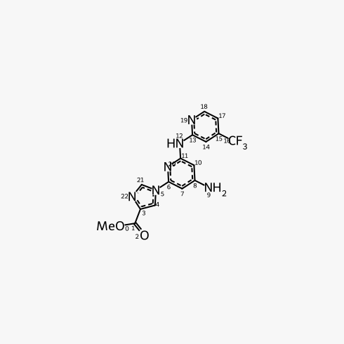 COC(=O)c1cn(-c2cc(N)cc(Nc3cc(C(F)(F)F)ccn3)n2)cn1